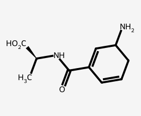 C[C@H](NC(=O)C1=CC(N)CC=C1)C(=O)O